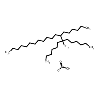 CCCCCCCCCCCCC(CCCCCC)C(P)(CCCCCC)CCCCCC.O=[N+]([O-])O